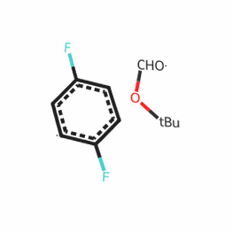 CC(C)(C)O[C]=O.Fc1[c]cc(F)cc1